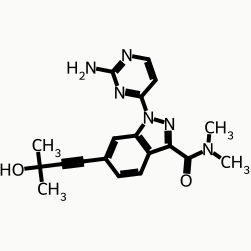 CN(C)C(=O)c1nn(-c2ccnc(N)n2)c2cc(C#CC(C)(C)O)ccc12